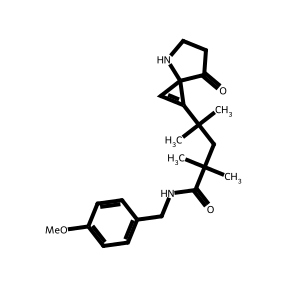 COc1ccc(CNC(=O)C(C)(C)CC(C)(C)C2=CC23NCCC3=O)cc1